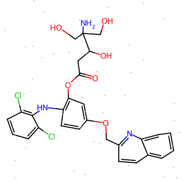 NC(CO)(CO)C(O)CC(=O)Oc1cc(OCc2ccc3ccccc3n2)ccc1Nc1c(Cl)cccc1Cl